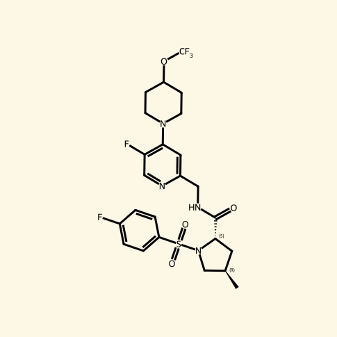 C[C@@H]1C[C@@H](C(=O)NCc2cc(N3CCC(OC(F)(F)F)CC3)c(F)cn2)N(S(=O)(=O)c2ccc(F)cc2)C1